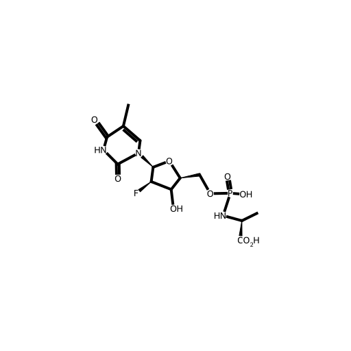 Cc1cn([C@H]2O[C@@H](COP(=O)(O)N[C@@H](C)C(=O)O)C(O)[C@H]2F)c(=O)[nH]c1=O